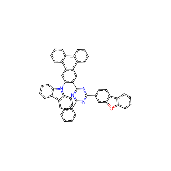 c1ccc(-c2nc(-c3ccc4c(c3)oc3ccccc34)nc(-c3cc4c5ccccc5c5ccccc5c4cc3-n3c4ccccc4c4ccccc43)n2)cc1